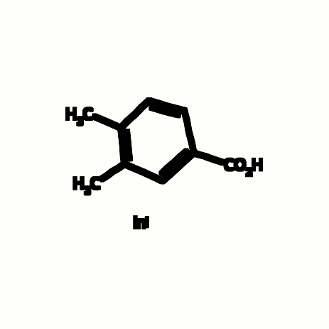 Cc1ccc(C(=O)O)cc1C.[In]